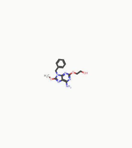 COc1nc2c(N)nc(OCCO)nc2n1Cc1ccccc1